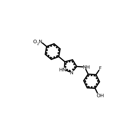 O=[N+]([O-])c1ccc(-c2cc(Nc3ccc(O)cc3F)n[nH]2)cc1